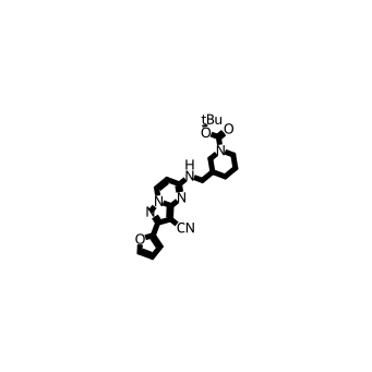 CC(C)(C)OC(=O)N1CCCC(CNc2ccn3nc(-c4ccco4)c(C#N)c3n2)C1